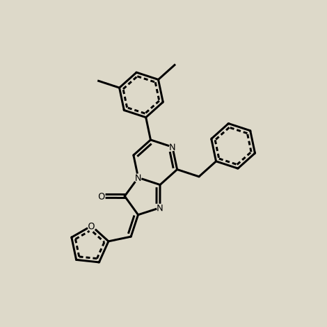 Cc1cc(C)cc(C2=CN3C(=O)C(=Cc4ccco4)N=C3C(Cc3ccccc3)=N2)c1